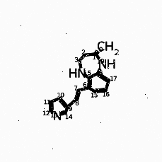 C=C1CCNc2c(/C=C/c3cccnc3)cccc2N1